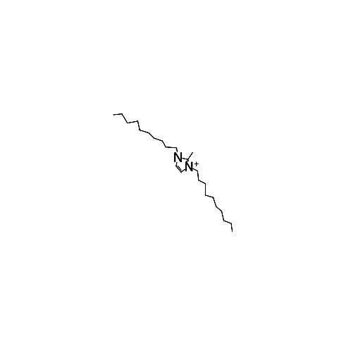 CCCCCCCCCCn1cc[n+](CCCCCCCCCC)c1C